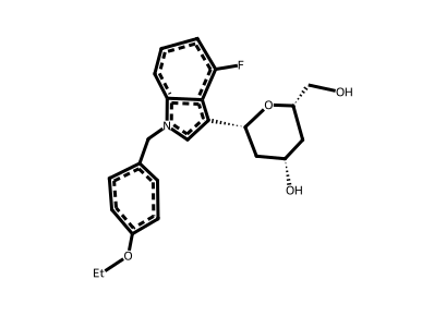 CCOc1ccc(Cn2cc([C@H]3C[C@@H](O)C[C@@H](CO)O3)c3c(F)cccc32)cc1